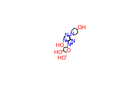 OC[C@H]1O[C@@H](n2cnc3c(N4CCC(O)CC4)ncnc32)[C@H](O)[C@@H]1O